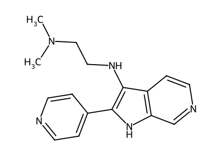 CN(C)CCNc1c(-c2ccncc2)[nH]c2cnccc12